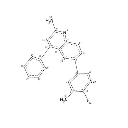 Cc1cc(-c2ccc3nc(N)nc(-c4ccccc4)c3n2)cnc1F